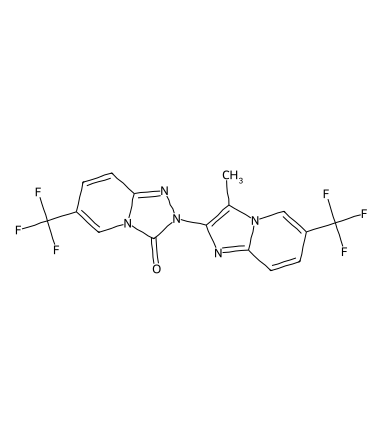 Cc1c(-n2nc3ccc(C(F)(F)F)cn3c2=O)nc2ccc(C(F)(F)F)cn12